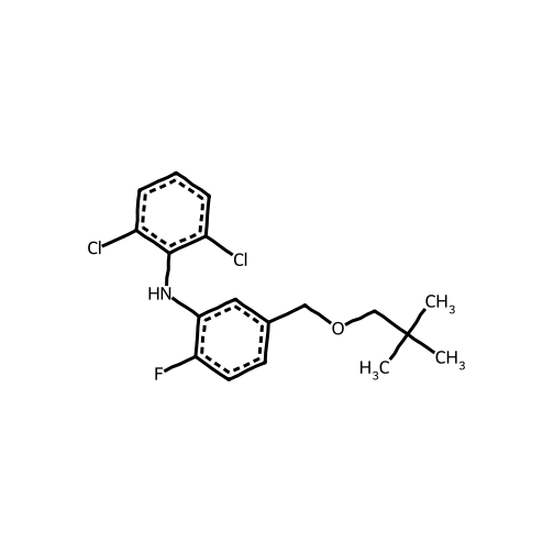 CC(C)(C)COCc1ccc(F)c(Nc2c(Cl)cccc2Cl)c1